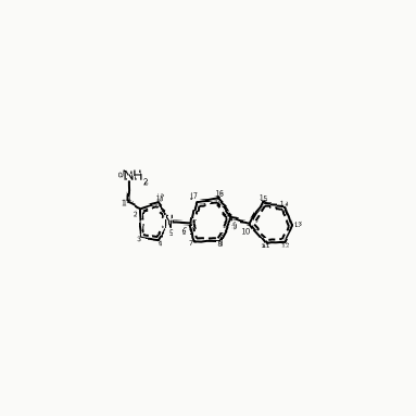 NCc1ccn(-c2ccc(-c3ccccc3)cc2)c1